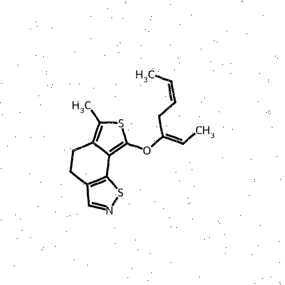 C/C=C\C/C(=C\C)Oc1sc(C)c2c1-c1sncc1CC2